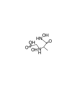 CC(NCP(=O)(O)O)C(=O)NO